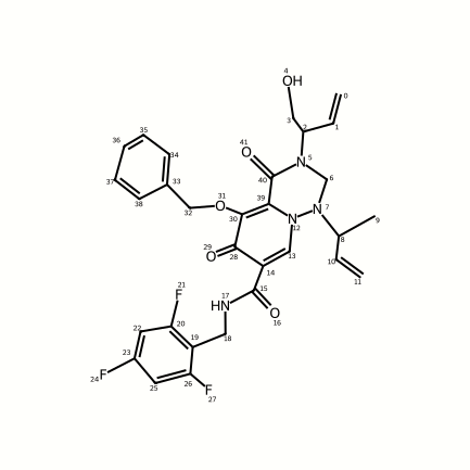 C=CC(CO)N1CN(C(C)C=C)n2cc(C(=O)NCc3c(F)cc(F)cc3F)c(=O)c(OCc3ccccc3)c2C1=O